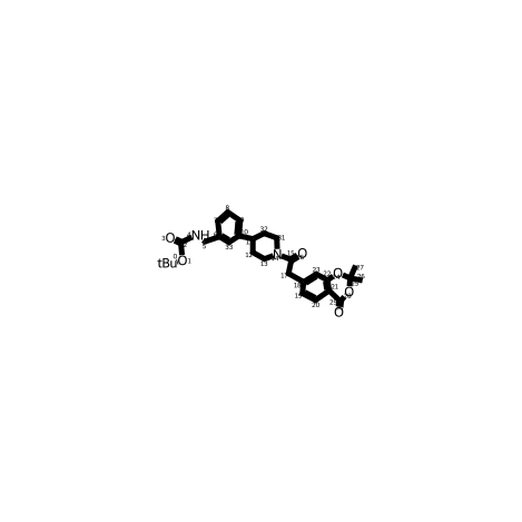 CC(C)(C)OC(=O)NCc1cccc(C2CCN(C(=O)Cc3ccc4c(c3)OC(C)(C)OC4=O)CC2)c1